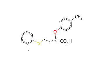 Cc1ccccc1SCC[C@H](Oc1ccc(C(F)(F)F)cc1)C(=O)O